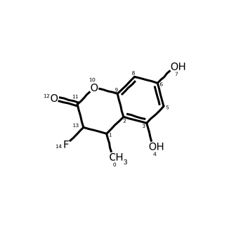 CC1c2c(O)cc(O)cc2OC(=O)C1F